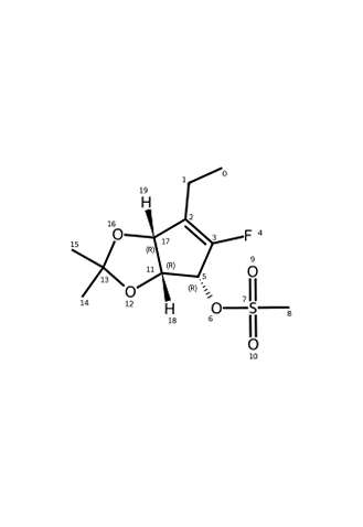 CCC1=C(F)[C@H](OS(C)(=O)=O)[C@@H]2OC(C)(C)O[C@H]12